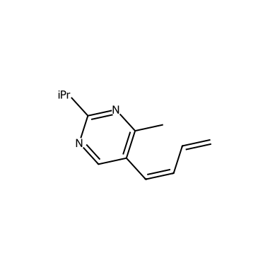 C=C/C=C\c1cnc(C(C)C)nc1C